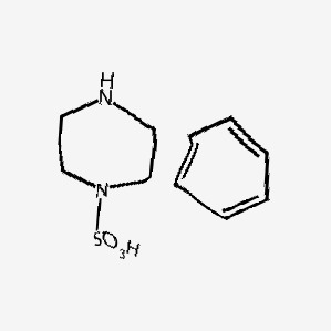 O=S(=O)(O)N1CCNCC1.c1ccccc1